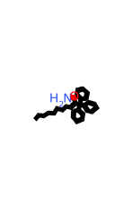 CCCCCCCCC=C(C(N)=O)C(c1ccccc1)(c1ccccc1)c1ccccc1